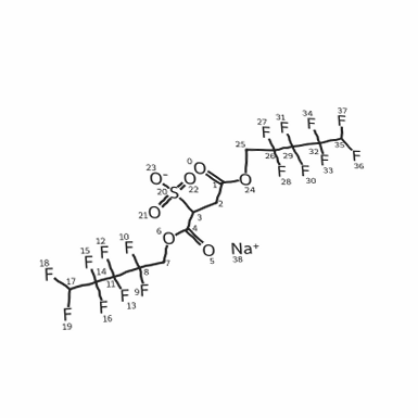 O=C(CC(C(=O)OCC(F)(F)C(F)(F)C(F)(F)C(F)F)S(=O)(=O)[O-])OCC(F)(F)C(F)(F)C(F)(F)C(F)F.[Na+]